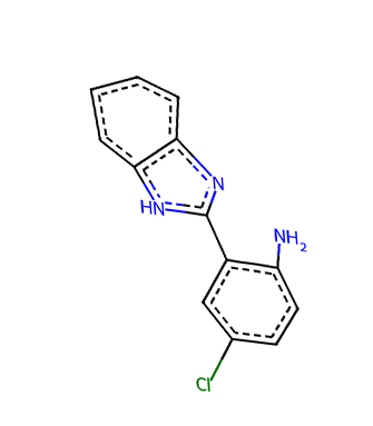 Nc1ccc(Cl)cc1-c1nc2ccccc2[nH]1